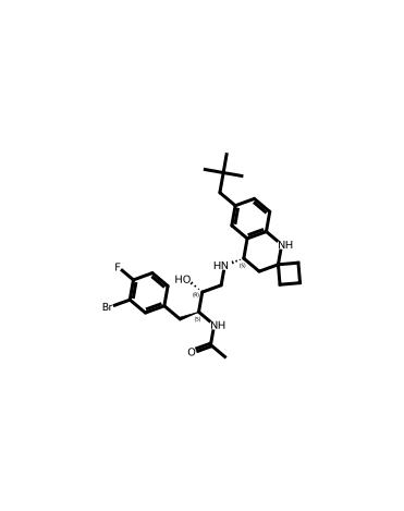 CC(=O)N[C@@H](Cc1ccc(F)c(Br)c1)[C@H](O)CN[C@H]1CC2(CCC2)Nc2ccc(CC(C)(C)C)cc21